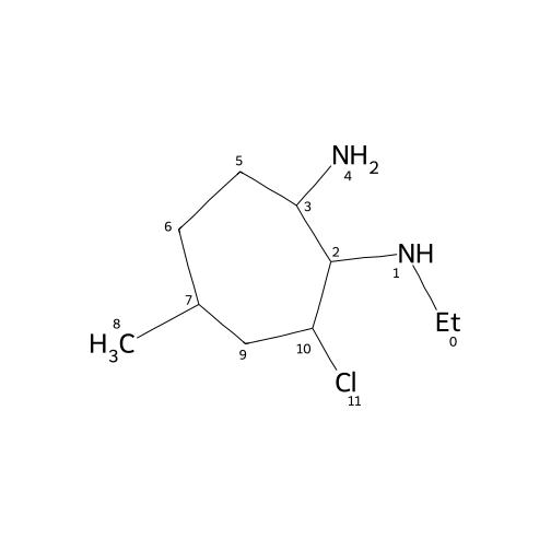 CCNC1C(N)CCC(C)CC1Cl